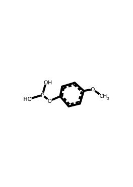 COc1ccc(OP(O)O)cc1